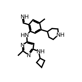 Cc1nc(Nc2cc(C3CCNCC3)c(C)cc2C=N)cc(NC2CCC2)n1